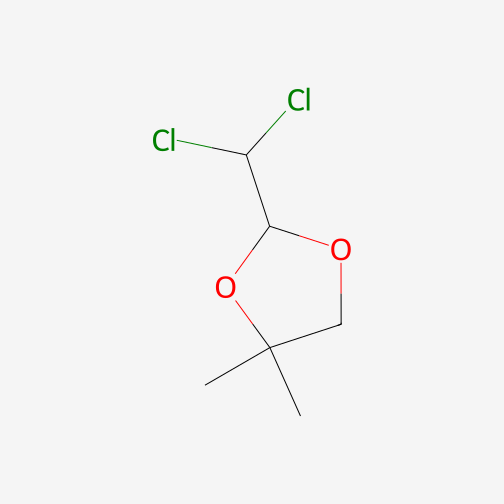 CC1(C)COC(C(Cl)Cl)O1